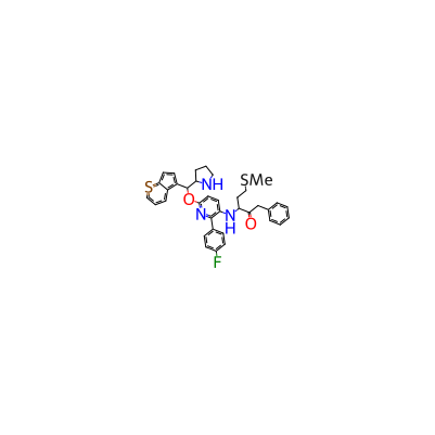 CSCCC(Nc1ccc(OC(c2ccc3scccc2-3)C2CCCN2)nc1-c1ccc(F)cc1)C(=O)Cc1ccccc1